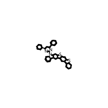 c1ccc(-c2cc(-c3ccccc3)nc(-n3c4ccccc4c4cc5c(cc43)sc3cc4sc6ccccc6c4cc35)n2)cc1